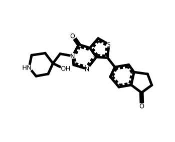 O=C1CCc2cc(-c3scc4c(=O)n(CC5(O)CCNCC5)cnc34)ccc21